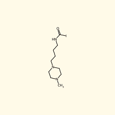 CN1CCN(CCCCNC(=O)I)CC1